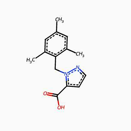 Cc1cc(C)c(Cn2nccc2C(=O)O)c(C)c1